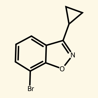 Brc1cccc2c(C3CC3)noc12